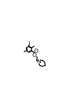 Cc1cc(I)c(C)c(C(=O)OCCN2CCCCC2)c1